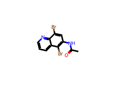 CC(=O)Nc1cc(Br)c2ncccc2c1Br